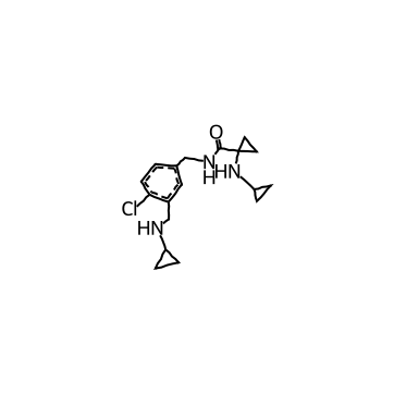 O=C(NCc1ccc(Cl)c(CNC2CC2)c1)C1(NC2CC2)CC1